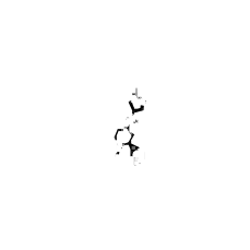 CCCn1cc(S(=O)(=O)N2CCN(C(=O)O)C3(CC3C(C)(C)C)C2)cn1